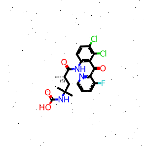 C[C@@H](CC(C)(C)NC(=O)O)C(=O)Nc1ccc(Cl)c(Cl)c1C(=O)c1ncccc1F